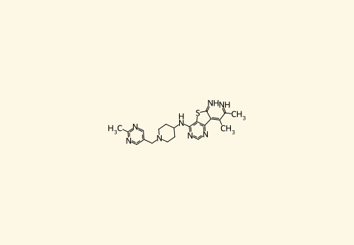 CC(=N)/C(C)=C1\C(=N)Sc2c(NC3CCN(Cc4cnc(C)nc4)CC3)ncnc21